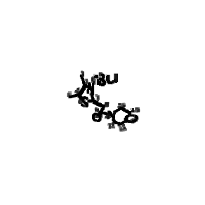 CCCCN1C(C)=C(C)S/C1=C\C(=O)N1CCOCC1